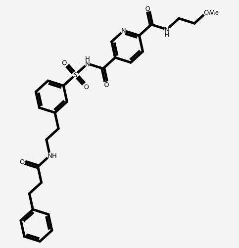 COCCNC(=O)c1ccc(C(=O)NS(=O)(=O)c2cccc(CCNC(=O)CCc3ccccc3)c2)cn1